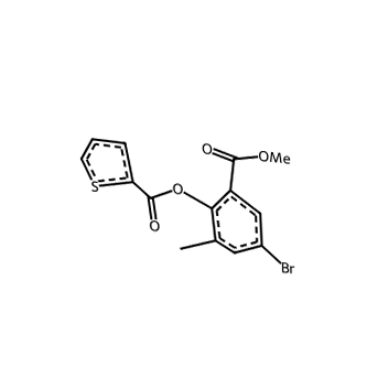 COC(=O)c1cc(Br)cc(C)c1OC(=O)c1cccs1